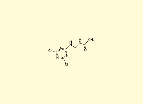 CC(=O)NCNc1nc(Cl)nc(Cl)n1